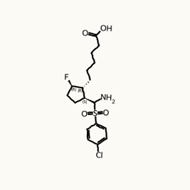 NC([C@H]1CC[C@@H](F)[C@@H]1CCCCCC(=O)O)S(=O)(=O)c1ccc(Cl)cc1